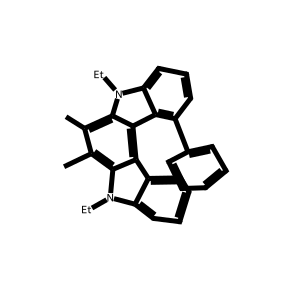 CCn1c2ccccc2c2c3c4c(-c5ccccc5)cccc4n(CC)c3c(C)c(C)c21